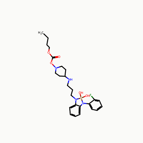 CCCCOC(=O)ON1CCC(NCCCN2c3ccccc3N(c3ccccc3F)S2(O)O)CC1